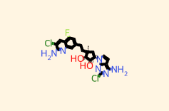 C[C@]1(CCc2cc(F)c3cc(Cl)c(N)nc3c2)C[C@@H](n2ccc3c(N)nc(Cl)nc32)[C@H](O)[C@@H]1O